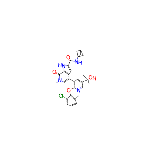 Cc1cccc(Cl)c1Oc1ncc(C(C)(C)O)cc1-c1cn(C)c(=O)c2[nH]c(C(=O)NC34CC(C3)C4)cc12